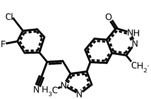 [CH2]c1n[nH]c(=O)c2ccc(-c3cnn(C)c3C=C(C#N)c3ccc(Cl)c(F)c3)cc12